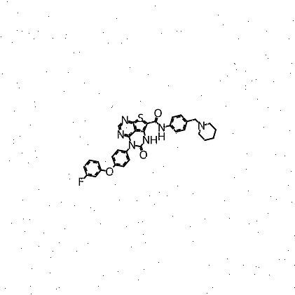 O=C(Nc1ccc(CN2CCCCC2)cc1)c1sc2ncnc3c2c1NC(=O)N3c1ccc(Oc2cccc(F)c2)cc1